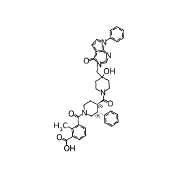 Cc1c(C(=O)O)cccc1C(=O)N1CC[C@@H](C(=O)N2CCC(O)(Cn3cnc4c(ccn4-c4ccccc4)c3=O)CC2)[C@H](c2ccccc2)C1